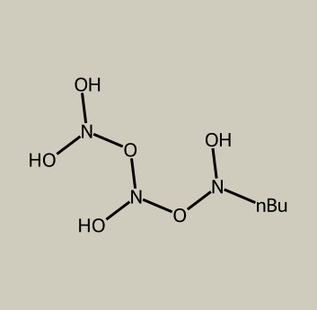 CCCCN(O)ON(O)ON(O)O